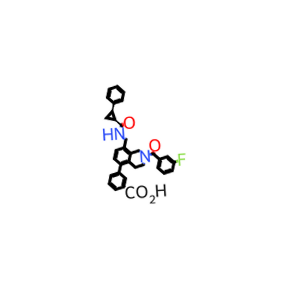 O=C(O)c1cccc(-c2ccc(CNC(=O)[C@H]3C[C@H]3c3ccccc3)c3c2CCN(C(=O)c2cccc(F)c2)C3)c1